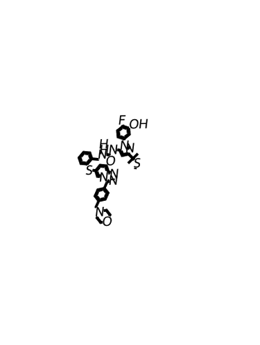 CSC(C)(C)c1cc(NC(=O)NCc2ccccc2Sc2ccc3nnc(-c4ccc(CN5CCOCC5)cc4)n3c2)n(-c2ccc(F)c(O)c2)n1